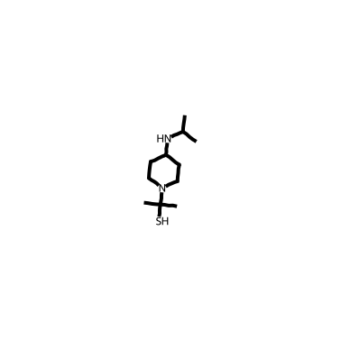 CC(C)NC1CCN(C(C)(C)S)CC1